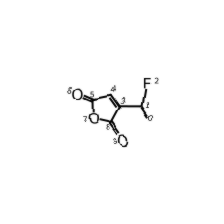 CC(F)C1=CC(=O)OC1=O